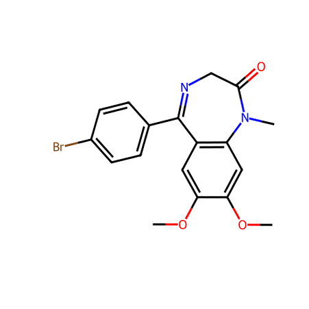 COc1cc2c(cc1OC)N(C)C(=O)CN=C2c1ccc(Br)cc1